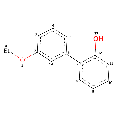 CCOc1cccc(-c2[c]cccc2O)c1